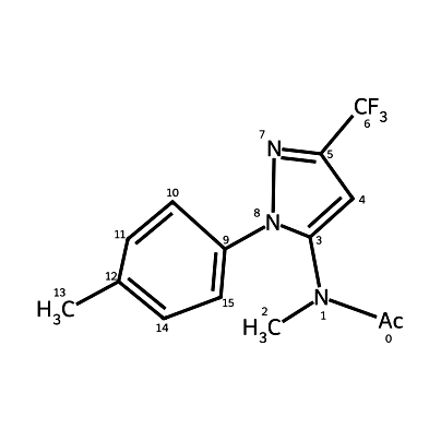 CC(=O)N(C)c1cc(C(F)(F)F)nn1-c1ccc(C)cc1